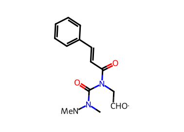 CNN(C)C(=O)N(C[C]=O)C(=O)C=Cc1ccccc1